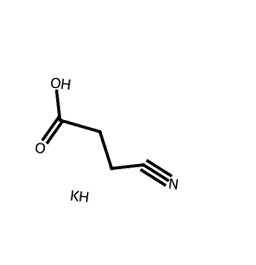 N#CCCC(=O)O.[KH]